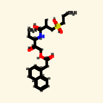 CC(CS(=O)(=O)CCC(=O)O)C(=O)NC(CC(=O)O)C(=O)COC(=O)Cc1cccc2ccccc12